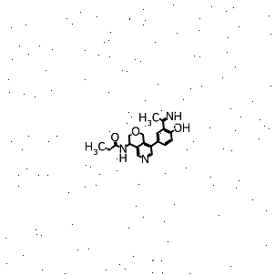 CCC(=O)NC1COCc2c(-c3ccc(O)c(C(C)=N)c3)cncc21